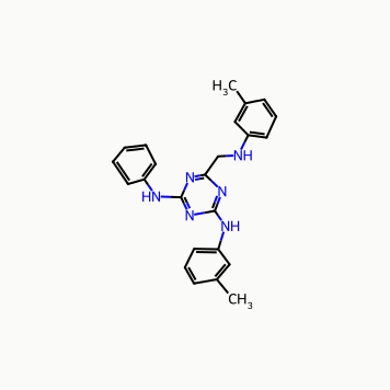 Cc1cccc(NCc2nc(Nc3ccccc3)nc(Nc3cccc(C)c3)n2)c1